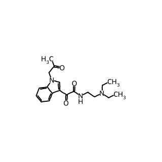 CCN(CC)CCNC(=O)C(=O)c1cn(CC(C)=O)c2ccccc12